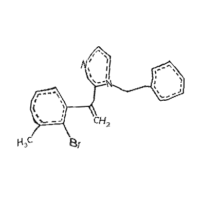 C=C(c1cccc(C)c1Br)c1nccn1Cc1ccccc1